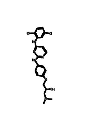 CN(C)C[C@H](O)COc1ccc(Nc2nccc(Nc3cc(Cl)ccc3Cl)n2)cc1